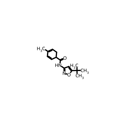 CC1=CCC(C(=O)Nc2cc(C(C)(C)C)on2)C=C1